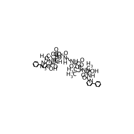 CC(C)C[C@H](NC(=O)[C@@H](NC(=O)c1cccc(-c2ccccc2)n1)[C@@H](C)O)B1OC(=O)C[C@H](C(=O)NCCNC(=O)[C@H]2CC(=O)OB([C@H](CC(C)C)NC(=O)[C@@H](NC(=O)c3cccc(-c4ccccc4)n3)[C@@H](C)O)O2)O1